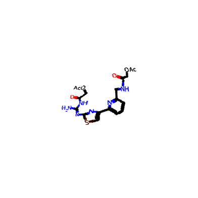 CC(=O)OCC(=O)NCc1cccc(-c2csc(N=C(N)NC(=O)COC(C)=O)n2)n1